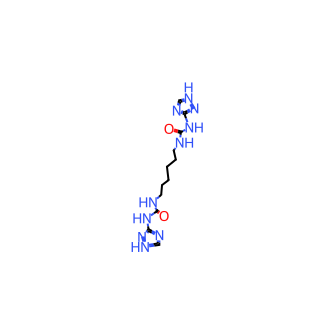 O=C(NCCCCCCNC(=O)Nc1nc[nH]n1)Nc1nc[nH]n1